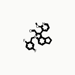 COc1ncccc1-c1c(C=O)n(Cc2cc(F)ccc2F)c2ccc3c(c12)CCC3